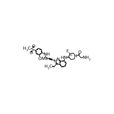 C=Cc1c2cccc(N[C@@H]3CCN(C(=O)CN)C[C@@H]3F)c2nn1C#CCNc1ccc(S(C)(=O)=O)cc1OC